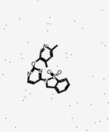 Cc1cc(C)c(Oc2nccc(N3Cc4ccccc4S3(=O)=O)n2)cn1